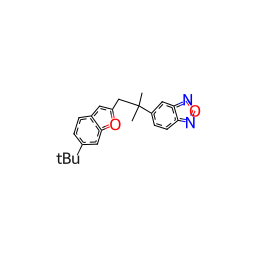 CC(C)(C)c1ccc2cc(CC(C)(C)c3ccc4nonc4c3)oc2c1